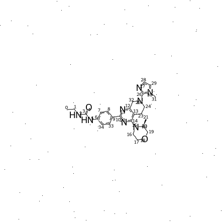 CCNC(=O)Nc1ccc(-c2nc3c(c(N4CCOC[C@@H]4C)n2)CCN(c2nccn2C)C3)cc1